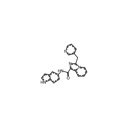 O=C(Nc1ccc2[nH]ccc2c1)c1nc(Cc2cccnc2)n2ccccc12